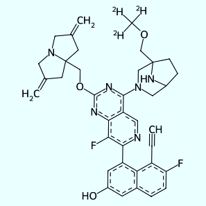 [2H]C([2H])([2H])OCC12CCC(CN(c3nc(OCC45CC(=C)CN4CC(=C)C5)nc4c(F)c(-c5cc(O)cc6ccc(F)c(C#C)c56)ncc34)C1)N2